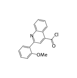 COc1ccccc1-c1cc(C(=O)Cl)c2ccccc2n1